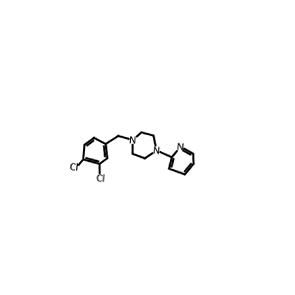 Clc1ccc(CN2CCN(c3ccccn3)CC2)cc1Cl